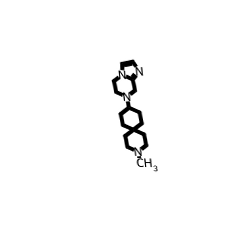 CN1CCC2(CCC(N3CCn4ccnc4C3)CC2)CC1